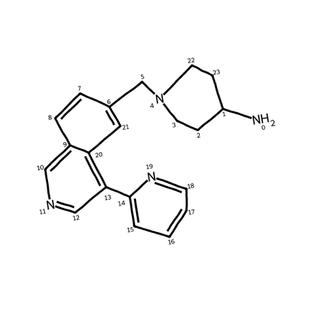 NC1CCN(Cc2ccc3cncc(-c4ccccn4)c3c2)CC1